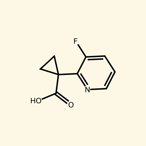 O=C(O)C1(c2ncccc2F)CC1